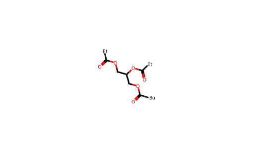 CCC(=O)OCC(COC(=O)C(C)CC)OC(=O)CC